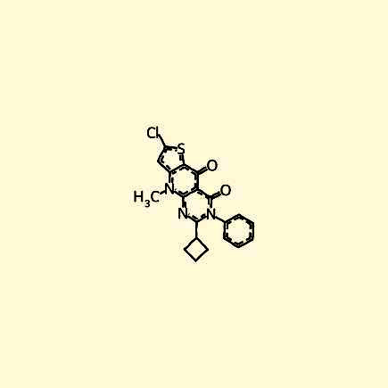 Cn1c2cc(Cl)sc2c(=O)c2c(=O)n(-c3ccccc3)c(C3CCC3)nc21